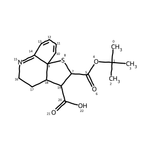 CC(C)(C)OC(=O)C1SC23C=CC=CC2=NCCC3C1C(=O)O